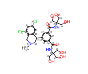 CN1Cc2c(Cl)cc(Cl)cc2C(c2cc(C(=O)NC(CO)(CO)CO)cc(C(=O)NC(CO)(CO)CO)c2)C1